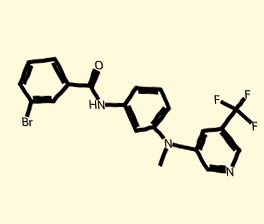 CN(c1cccc(NC(=O)c2cccc(Br)c2)c1)c1cncc(C(F)(F)F)c1